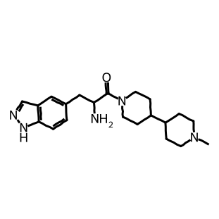 CN1CCC(C2CCN(C(=O)C(N)Cc3ccc4[nH]ncc4c3)CC2)CC1